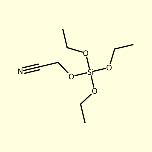 CCO[Si](OCC)(OCC)OCC#N